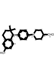 CC1(C)CCc2cc(O)ccc2[C@@H]1c1ccc(N2CCC(C=O)CC2)cc1